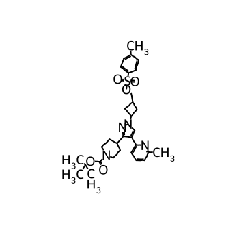 Cc1ccc(S(=O)(=O)OCC2CC(n3cc(-c4cccc(C)n4)c(C4CCN(C(=O)OC(C)(C)C)CC4)n3)C2)cc1